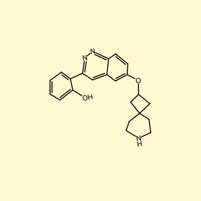 Oc1ccccc1-c1cc2cc(OC3CC4(CCNCC4)C3)ccc2nn1